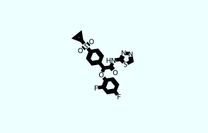 O=C(Nc1nncs1)C(Oc1ccc(F)cc1F)c1ccc(S(=O)(=O)C2CC2)cc1